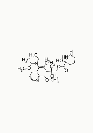 CCN(/C(=C(\C)CC(C)(C)COC(=O)C1(O)CCCNN1)[C@@H]1CC=CN=C1COC)C(C)OC